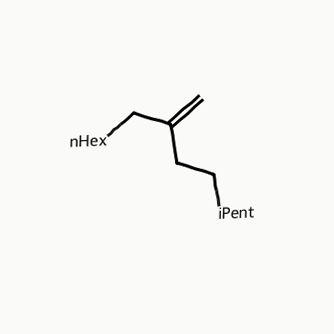 C=C(CCCCCCC)CCC(C)CCC